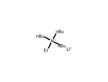 CCC[CH2][Al-]([CH2]C)([CH2]CCC)[CH2]CCC.[Li+]